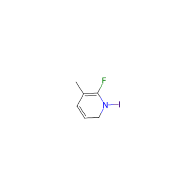 CC1=C(F)N(I)CC=C1